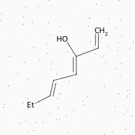 C=C/C(O)=C/C=C/CC